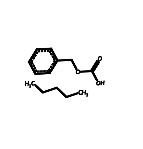 CCCCC.O=C(O)OCc1ccccc1